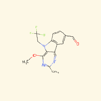 COc1nc(C)nc2c3cc(C=O)ccc3n(CC(F)(F)F)c12